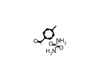 Cc1ccc(I=O)cc1.NS(N)(=O)=O